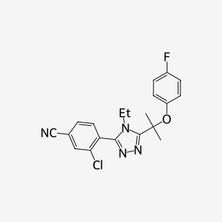 CCn1c(-c2ccc(C#N)cc2Cl)nnc1C(C)(C)Oc1ccc(F)cc1